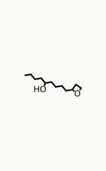 CCCCC(O)CCCCC1CCO1